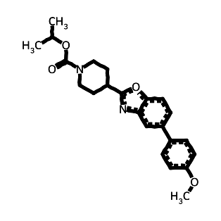 COc1ccc(-c2ccc3oc(C4CCN(C(=O)OC(C)C)CC4)nc3c2)cc1